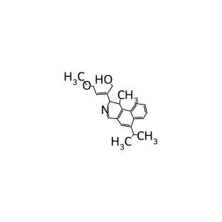 COC/C=C(\CO)C1N=Cc2cc(C(C)C)c3ccccc3c2C1C